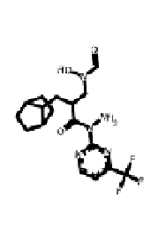 NN(C(=O)C(CC1C2CCC1CC2)CN(O)C=O)c1nccc(C(F)(F)F)n1